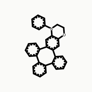 c1ccc(N2CCOc3cc4c(cc32)-c2ccccc2-c2ccccc2-c2ccccc2-4)cc1